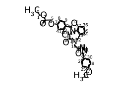 CCOC(=O)COc1ccc(C(=O)N2CC(=O)N(Cc3nnc(-c4ccc(OC)cc4)o3)Cc3ccccc32)c(Cl)c1